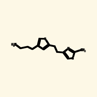 Cc1nc(CCc2cc(CCCN)cs2)cs1